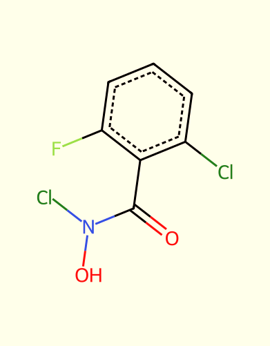 O=C(c1c(F)cccc1Cl)N(O)Cl